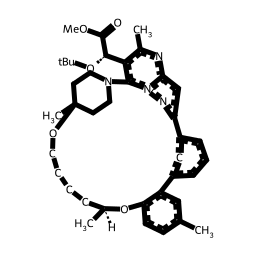 COC(=O)[C@@H](OC(C)(C)C)c1c(C)nc2cc3nn2c1N1CCC(C)(CC1)OCCCC[C@H](C)Oc1ccc(C)cc1-c1cccc-3c1